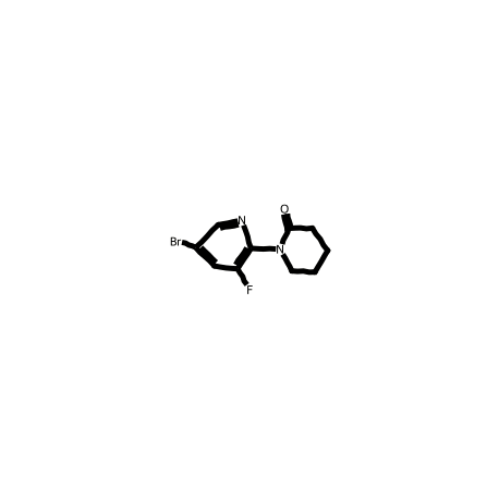 O=C1CCCCN1c1ncc(Br)cc1F